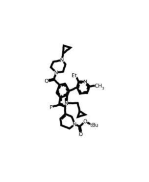 CCc1nc(C)ccc1-c1cc(C(=O)N2CCN(C3CC3)CC2)cc2c(F)c(C3=CCCN(C(=O)OC(C)(C)C)C3)n(CC3CC3)c12